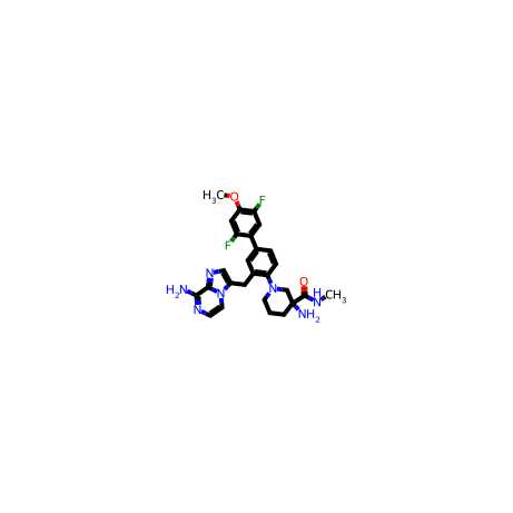 CNC(=O)C1(N)CCCN(c2ccc(-c3cc(F)c(OC)cc3F)cc2Cc2cnc3c(N)nccn23)C1